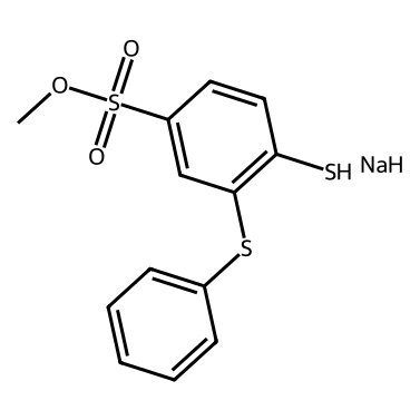 COS(=O)(=O)c1ccc(S)c(Sc2ccccc2)c1.[NaH]